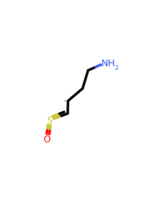 NCC[CH]C=S=O